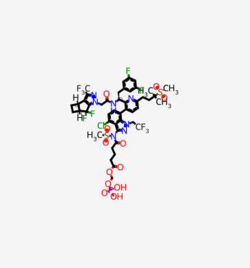 CC(C)(CCc1ccc(-c2ccc(Cl)c3c(N(C(=O)CCCC(=O)OCOP(=O)(O)O)S(C)(=O)=O)nn(CC(F)(F)F)c23)c([C@H](Cc2cc(F)cc(F)c2)NC(=O)Cn2nc(C(F)(F)F)c3c2C(F)(F)[C@@H]2CC[C@H]32)n1)S(C)(=O)=O